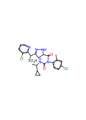 Cc1cc(Cl)ccc1N(C(=O)NC(C)C1CC1)C(=O)C1CC(C(c2ncccc2Cl)S(=O)(=O)O)=NN1